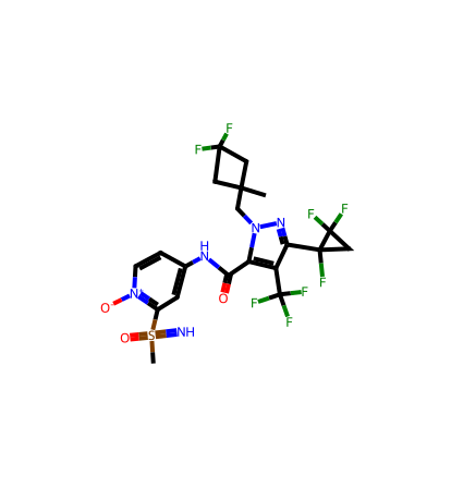 CC1(Cn2nc(C3(F)CC3(F)F)c(C(F)(F)F)c2C(=O)Nc2cc[n+]([O-])c(S(C)(=N)=O)c2)CC(F)(F)C1